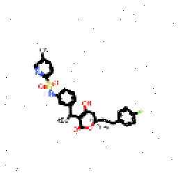 CCC[C@@]1(CCc2ccc(F)cc2)CC(O)=C(C(c2cccc(NS(=O)(=O)c3ccc(C#N)cn3)c2)C(C)(C)C)C(=O)O1